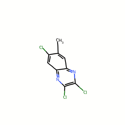 Cc1cc2nc(Cl)c(Cl)nc2cc1Cl